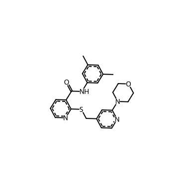 Cc1cc(C)cc(NC(=O)c2cccnc2SCc2ccnc(N3CCOCC3)c2)c1